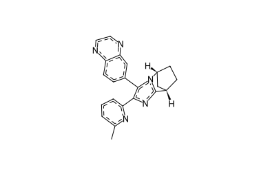 Cc1cccc(-c2nc3n(c2-c2ccc4nccnc4c2)[C@@H]2CC[C@H]3C2)n1